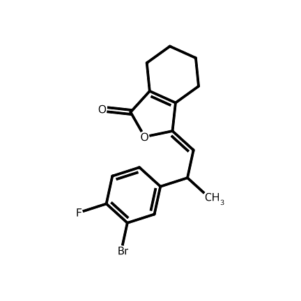 CC(C=C1OC(=O)C2=C1CCCC2)c1ccc(F)c(Br)c1